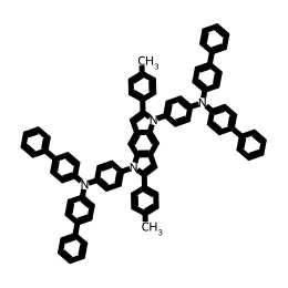 Cc1ccc(-c2cc3cc4c(cc(-c5ccc(C)cc5)n4-c4ccc(N(c5ccc(-c6ccccc6)cc5)c5ccc(-c6ccccc6)cc5)cc4)cc3n2-c2ccc(N(c3ccc(-c4ccccc4)cc3)c3ccc(-c4ccccc4)cc3)cc2)cc1